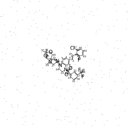 C/C(=C\c1ccc2c(c1)N(S(=O)(=O)c1cccc(C(F)(F)F)c1)CCN2CCN(C)C1(C#N)COC(C)(C)OC1)c1c(F)cccc1Cl